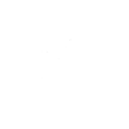 Cc1ccc(CCc2cc(C(=O)/C=C/c3ccc(C(=O)O)cc3)cc3c2C(C)(C)CCC3(C)C)cc1